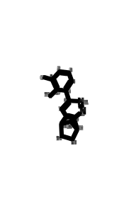 Cc1cccc(-c2cc3c(nn2)C2CCC3C2)c1C